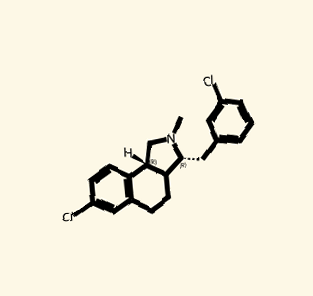 CN1C[C@H]2c3ccc(Cl)cc3CCC2[C@H]1Cc1cccc(Cl)c1